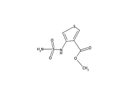 COC(=O)c1cscc1NS(N)(=O)=O